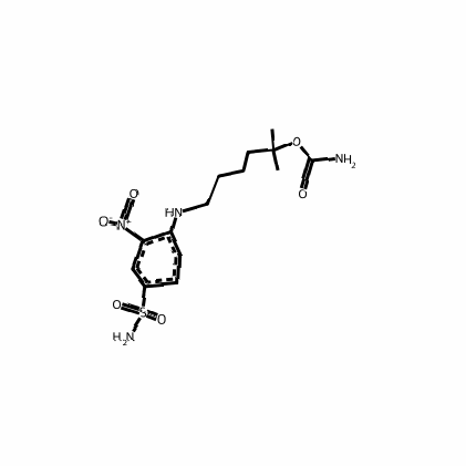 CC(C)(CCCCNc1ccc(S(N)(=O)=O)cc1[N+](=O)[O-])OC(N)=O